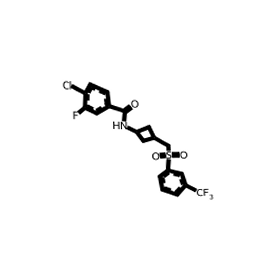 O=C(NC1CC(CS(=O)(=O)c2cccc(C(F)(F)F)c2)C1)c1ccc(Cl)c(F)c1